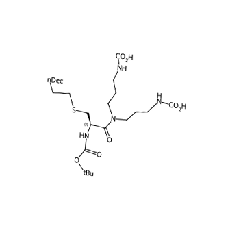 CCCCCCCCCCCCSC[C@H](NC(=O)OC(C)(C)C)C(=O)N(CCCNC(=O)O)CCCNC(=O)O